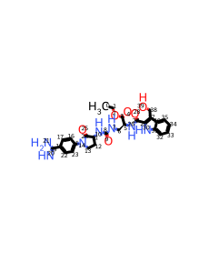 CCOC(=O)[C@H](CNC(=O)NC1CCN(c2ccc(C(=N)N)cc2)C1=O)NC(=O)c1[nH]c2ccccc2c1CO